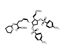 CCCCCC/C=C/[C@@H]1[C@@H](C/C=C\CCC(OC2CCCCO2)C(=O)OC)[C@H](OS(=O)(=O)c2ccc(C)cc2)C[C@@H]1OS(=O)(=O)c1ccc(C)cc1